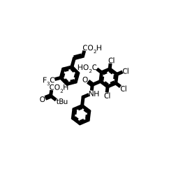 CC(C)(C)C(=O)C(=O)O.O=C(O)/C=C/c1cccc(C(F)(F)F)c1.O=C(O)c1c(Cl)c(Cl)c(Cl)c(Cl)c1C(=O)NCc1ccccc1